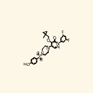 CC1(COc2c(N3CCN(S(=O)(=O)c4ccc(O)cc4)CC3)cnn(-c3cc(F)cc(F)c3)c2=O)CC1